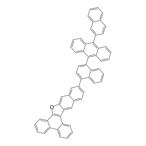 c1ccc2cc(-c3c4ccccc4c(-c4ccc(-c5ccc6cc7c(cc6c5)oc5c6ccccc6c6ccccc6c75)c5ccccc45)c4ccccc34)ccc2c1